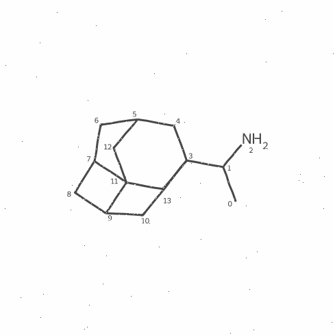 CC(N)C12CC3CC4CC(C1)C4(C3)C2